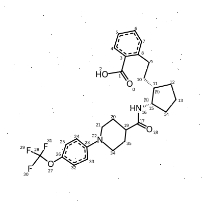 O=C(O)c1ccccc1CC[C@@H]1CCC[C@@H]1NC(=O)C1CCN(c2ccc(OC(F)(F)F)cc2)CC1